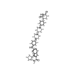 CN(C)C(=O)c1cc2cnc(Nc3ccc(N4CCN(C5CCN(c6ccc(C7CCC(=O)NC7=O)cc6)CC5)CC4)cc3)nc2n1C1CCCC1